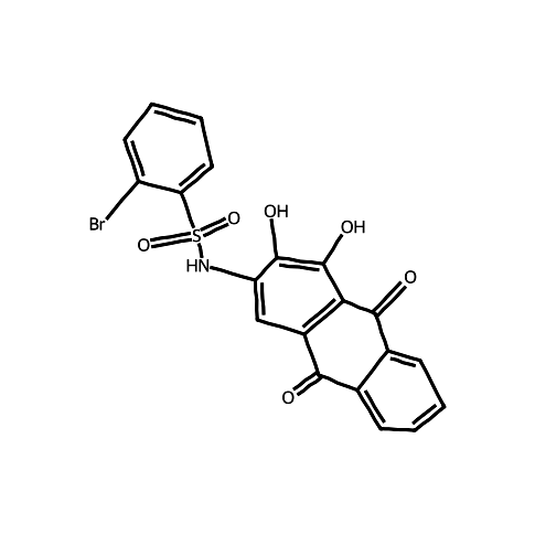 O=C1c2ccccc2C(=O)c2c1cc(NS(=O)(=O)c1ccccc1Br)c(O)c2O